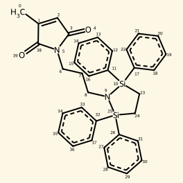 CC1=CC(=O)N(CCCN2[Si](c3ccccc3)(c3ccccc3)CC[Si]2(c2ccccc2)c2ccccc2)C1=O